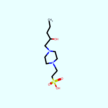 CCCC(O)CN1CCN(CCS(=O)(=O)O)CC1